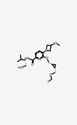 COC1CN(c2ccc(C(=O)N[C@H](CO)C(C)C)nc2OC[C@@H]2C[C@@H]2COCF)C1